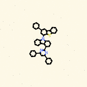 c1ccc(-c2cc(-n3c4ccccc4c4c(-c5nc(-c6ccccc6)cc(-c6ccccc6)n5)cccc43)c3sc4ccccc4c3c2)cc1